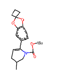 CC1CC=C(c2ccc3c(c2)OC2(CCC2)O3)N(C(=O)OC(C)(C)C)C1